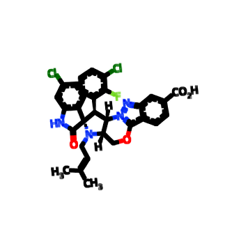 CC(C)=CCN1[C@H]2COc3c4ccc(C(=O)O)cc4nn3[C@H]2[C@H](c2cccc(Cl)c2F)[C@]12C(=O)Nc1cc(Cl)ccc12